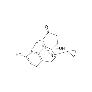 O=C1CC[C@@]2(O)C3Cc4ccc(O)c5c4[C@@]2(CCN3C2CC2)C1O5